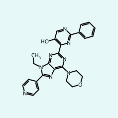 CCn1c(-c2ccncc2)nc2c(N3CCOCC3)nc(-c3nc(-c4ccccc4)ncc3O)nc21